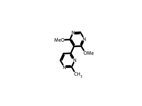 COc1ncnc(OC)c1-c1ccnc(C)n1